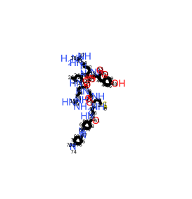 CSCCC(NC(=O)CNC(=O)C(CCCNC(=N)N)NC(=O)C(CC(C)C)NC(=O)C(CCCNC(=N)N)NC(=O)c1cc2ccc(O)cc2oc1=O)C(=O)NCCNC(=O)c1ccc(/N=N/c2ccc(N(C)C)cc2)cc1